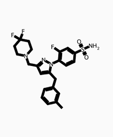 Cc1cccc(Cc2cc(CN3CCC(F)(F)CC3)nn2-c2ccc(S(N)(=O)=O)cc2F)c1